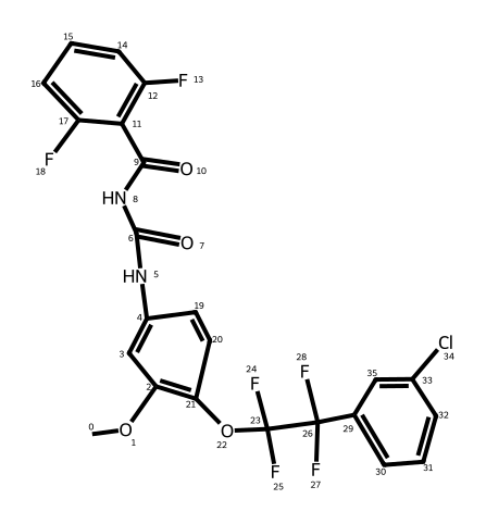 COc1cc(NC(=O)NC(=O)c2c(F)cccc2F)ccc1OC(F)(F)C(F)(F)c1cccc(Cl)c1